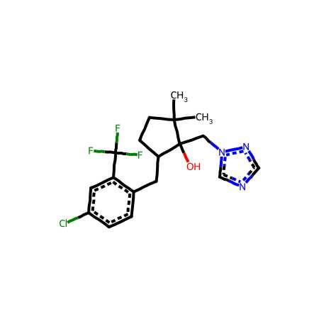 CC1(C)CCC(Cc2ccc(Cl)cc2C(F)(F)F)C1(O)Cn1cncn1